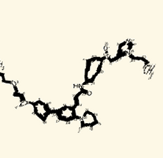 CCCCOCCOc1ccc(-c2ccc(N3CCCCC3)c(C=CC(=O)Nc3ccc([S+]([O-])Cc4cncn4CCC)cc3)c2)cc1